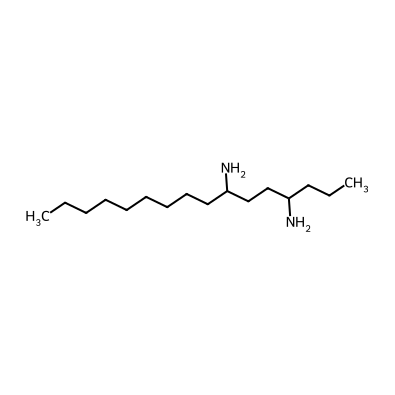 CCCCCCCCCC(N)CCC(N)CCC